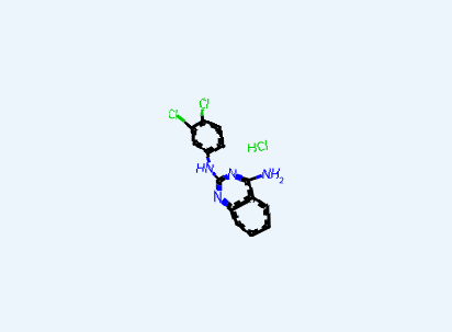 Cl.Nc1nc(Nc2ccc(Cl)c(Cl)c2)nc2ccccc12